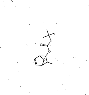 CC1C2C=CC(O2)C1OC(=O)OC(C)(C)C